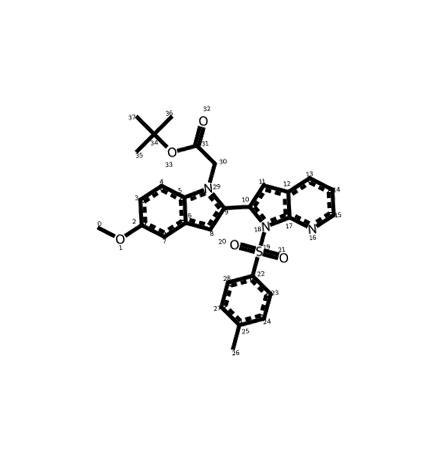 COc1ccc2c(c1)cc(-c1cc3cccnc3n1S(=O)(=O)c1ccc(C)cc1)n2CC(=O)OC(C)(C)C